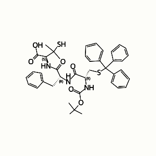 CC(C)(C)OC(=O)N[C@@H](CSC(c1ccccc1)(c1ccccc1)c1ccccc1)C(=O)N[C@H](Cc1ccccc1)C(=O)N[C@@H](C(=O)O)C(C)(C)S